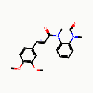 COc1ccc(/C=C/C(=O)N(C)c2ccccc2N(C)C=O)cc1OC